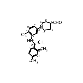 Cc1ccc([C@@H](C)Nc2cc(N3CCC(C=O)CC3)ccc2Cl)c(C)c1